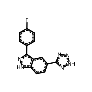 Fc1ccc(-c2n[nH]c3ccc(-c4nn[nH]n4)cc23)cc1